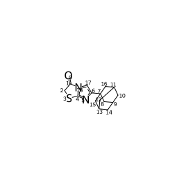 O=C1CSc2nc(C34CC5CC(CC(C5)C3)C4)cn21